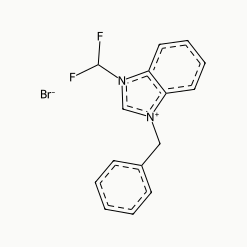 FC(F)n1c[n+](Cc2ccccc2)c2ccccc21.[Br-]